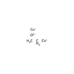 C.C.[Cu+].[Cu+].[O-2]